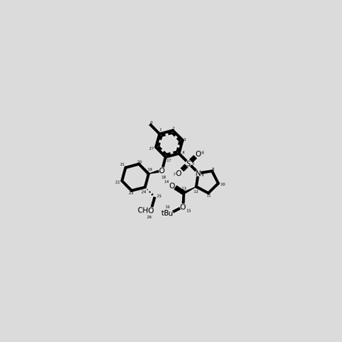 Cc1ccc(S(=O)(=O)N2CCC[C@H]2C(=O)OC(C)(C)C)c(O[C@@H]2CCCC[C@H]2CC=O)c1